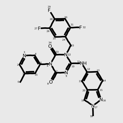 Cc1cncc(-n2c(=O)nc(Nc3ccc4nn(C)cc4c3)n(Cc3cc(F)c(F)cc3F)c2=O)c1